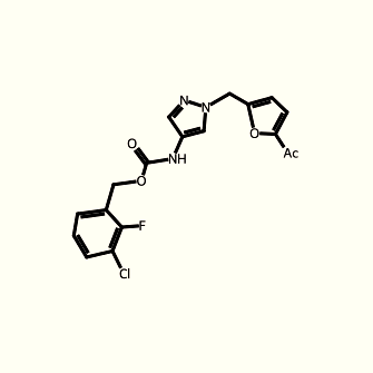 CC(=O)c1ccc(Cn2cc(NC(=O)OCc3cccc(Cl)c3F)cn2)o1